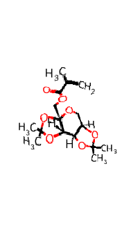 C=C(C)C(=O)OC[C@@]12OC[C@H]3OC(C)(C)O[C@H]3[C@@H]1OC(C)(C)O2